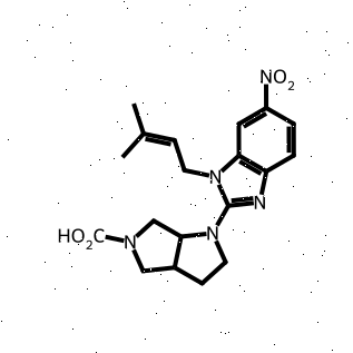 CC(C)=CCn1c(N2CCC3CN(C(=O)O)CC32)nc2ccc([N+](=O)[O-])cc21